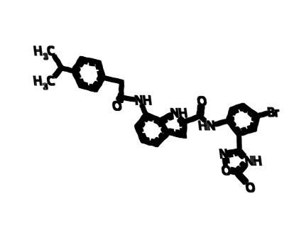 CC(C)c1ccc(CC(=O)Nc2cccc3cc(C(=O)Nc4ccc(Br)cc4-c4noc(=O)[nH]4)[nH]c23)cc1